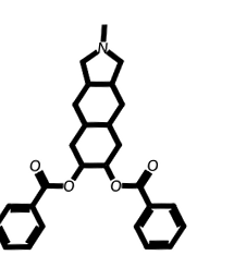 CN1CC2CC3CC(OC(=O)c4ccccc4)C(OC(=O)c4ccccc4)CC3CC2C1